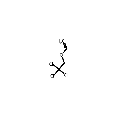 C=COCC(Cl)(Cl)Cl